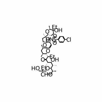 CCC(C(=O)[C@@H](C)[C@@H](O)[C@H](C)[C@@H]1O[C@@H]([C@](C=O)(CC)CO)CC[C@@H]1C)[C@H]1O[C@]2(C=C[C@@H](NS(=O)(=O)c3ccc(Cl)cc3)[C@]3(CC[C@@](C)([C@H]4CC[C@](O)(CC)[C@H](C)O4)O3)O2)[C@H](C)C[C@@H]1C